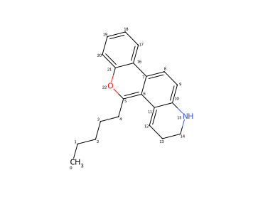 CCCCCC1=c2c(ccc3c2=CCCN3)-c2ccccc2O1